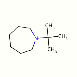 CC(C)(C)N1CCCCCC1